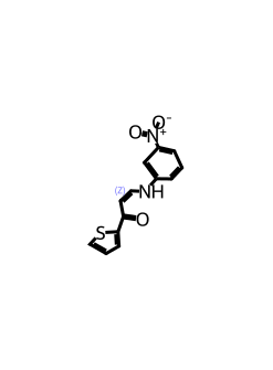 O=C(/C=C\Nc1cccc([N+](=O)[O-])c1)c1cccs1